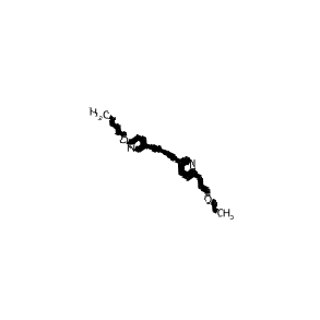 CCCCCCOc1ccc(C#CC#Cc2ccc(CCCOCCC)nc2)cn1